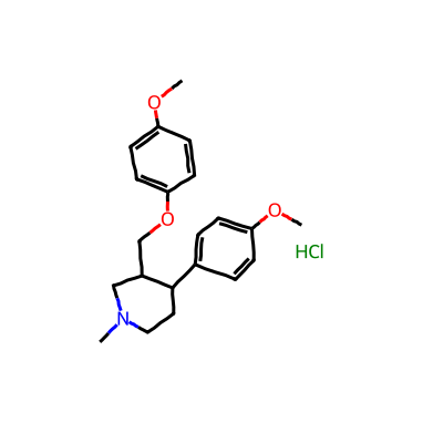 COc1ccc(OCC2CN(C)CCC2c2ccc(OC)cc2)cc1.Cl